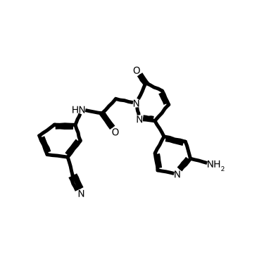 N#Cc1cccc(NC(=O)Cn2nc(-c3ccnc(N)c3)ccc2=O)c1